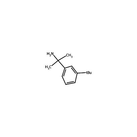 CC(C)(C)c1cccc(C(C)(C)N)c1